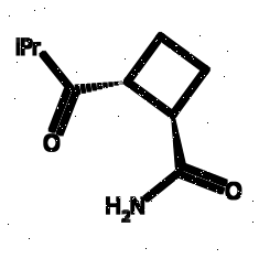 CC(C)C(=O)[C@@H]1CC[C@H]1C(N)=O